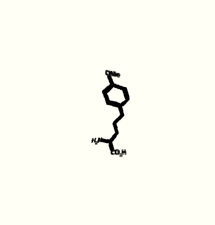 COC1C=CC(CCCC(N)C(=O)O)=CC1